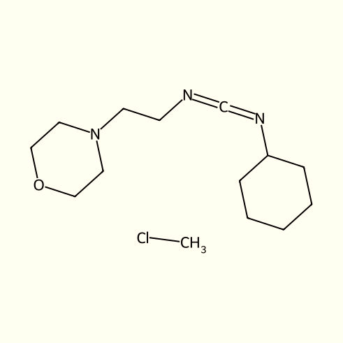 C(=NCCN1CCOCC1)=NC1CCCCC1.CCl